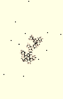 FC(F)(F)c1ccc(-n2c3ccccc3c3cc(-c4cc5c6c(c4)N(c4ccccc4)c4ccccc4B6c4ccccc4N5c4ccccc4)ccc32)cc1-c1nc(-c2ccccc2)cc(-c2ccccc2)n1